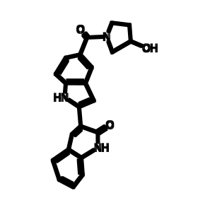 O=C(c1ccc2[nH]c(-c3cc4ccccc4[nH]c3=O)cc2c1)N1CCC(O)C1